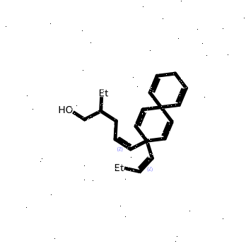 CC/C=C\C1(/C=C\CC(CC)CO)C=CC2(C=CCC=C2)C=C1